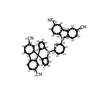 N#Cc1ccc2c(c1)C1(c3cc(C#N)ccc3-2)c2ccccc2N(c2cccc(-n3c4ccc(C#N)cc4c4cc(C#N)ccc43)n2)c2ccccc21